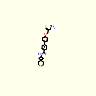 NCC(=CF)COc1ccc(C23CCC(C(=O)NC4CC5(CCOCC5)C4)(CC2)CC3)cc1